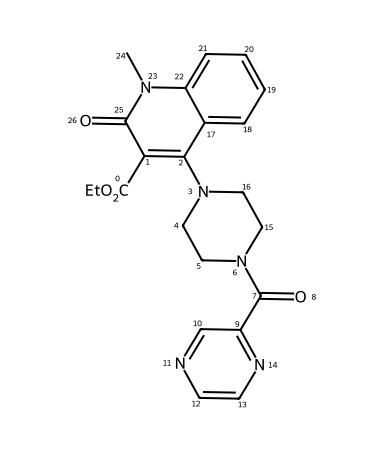 CCOC(=O)c1c(N2CCN(C(=O)c3cnccn3)CC2)c2ccccc2n(C)c1=O